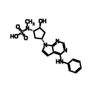 CN([C@H]1C[C@@H](n2ccc3c(Nc4ccccc4)ncnc32)C[C@@H]1O)S(=O)(=O)O